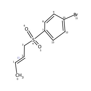 C/C=C/CS(=O)(=O)c1ccc(Br)cc1